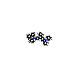 c1ccc(-c2cc3c(cc2-c2ccc(N(c4ccccc4)c4cccc5sc6ccccc6c45)cc2)c2ccccc2n3-c2ccccc2)cc1